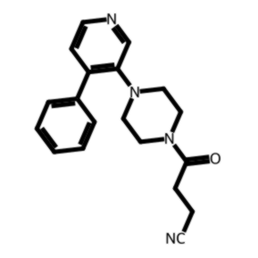 N#CCCC(=O)N1CCN(c2cnccc2-c2ccccc2)CC1